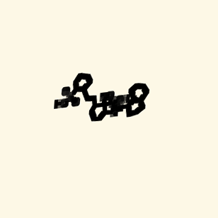 NC1(S(=O)(=O)O)C(N=Nc2cccc3ccccc23)=CC=CC1C=Cc1ccccc1S(=O)(=O)O